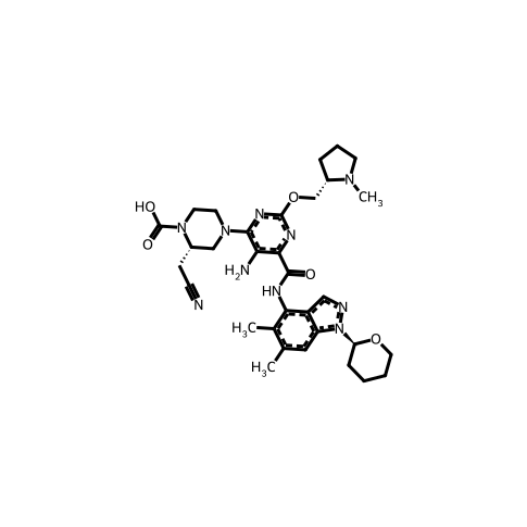 Cc1cc2c(cnn2[C@@H]2CCCCO2)c(NC(=O)c2nc(OC[C@@H]3CCCN3C)nc(N3CCN(C(=O)O)[C@@H](CC#N)C3)c2N)c1C